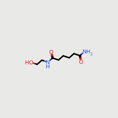 NC(=O)CCCCC(=O)NCCO